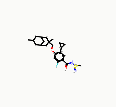 CC1CC2CC(C1)CC(C)(COc1cc(F)c(C(=O)NS(C)=N)cc1C1CC1)C2